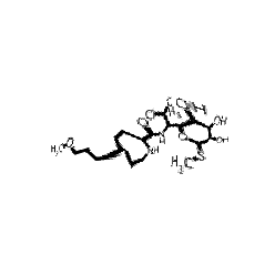 COCCCC1CCNC(C(=O)NC(C(C)Cl)C2OC(SC)C(O)C(O)C2O)CC1